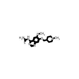 COc1cc2c(NC(N)=S)ncnc2cc1OCC1CCN(C)CC1